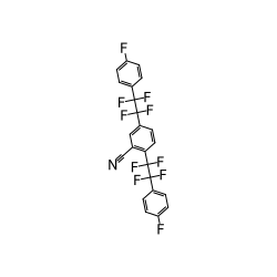 N#Cc1cc(C(F)(F)C(F)(F)c2ccc(F)cc2)ccc1C(F)(F)C(F)(F)c1ccc(F)cc1